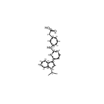 CC(C)n1cc(-c2ccnc(Nc3cccc(CC(=O)O)c3)n2)c2ccncc21